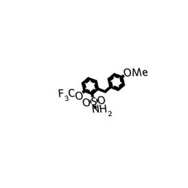 COc1ccc(Cc2cccc(OC(F)(F)F)c2S(N)(=O)=O)cc1